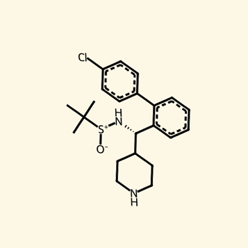 CC(C)(C)[S+]([O-])N[C@H](c1ccccc1-c1ccc(Cl)cc1)C1CCNCC1